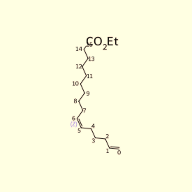 C=CCCC/C=C\CCCCCCCCC(=O)OCC